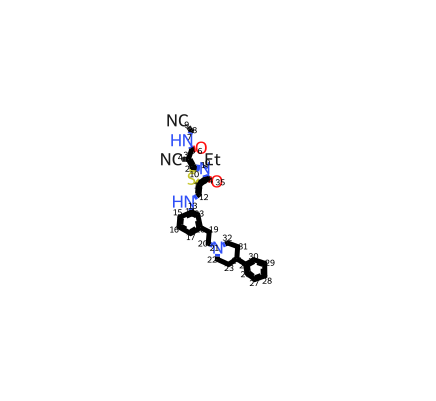 CCn1c(=C(C#N)C(=O)NCC#N)sc(=CNc2cccc(CCN3CCC(c4ccccc4)CC3)c2)c1=O